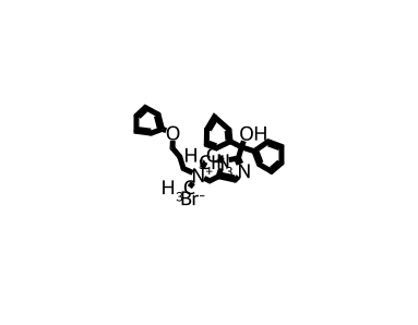 Cn1c(C[N+](C)(C)CCCOc2ccccc2)cnc1C(O)(c1ccccc1)c1ccccc1.[Br-]